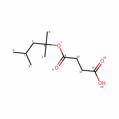 CC(C)CC(C)(C)OC(=O)CCC(=O)O